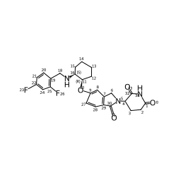 O=C1CCC(N2Cc3cc(O[C@@H]4CCCC[C@@H]4NCc4ccc(F)cc4F)ccc3C2=O)C(=O)N1